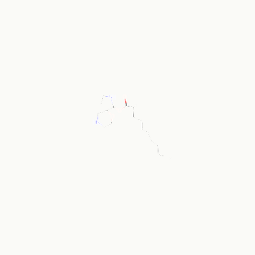 CCCCCCCCC(C)C(=O)OC1NCC[C@]12CNCCO2